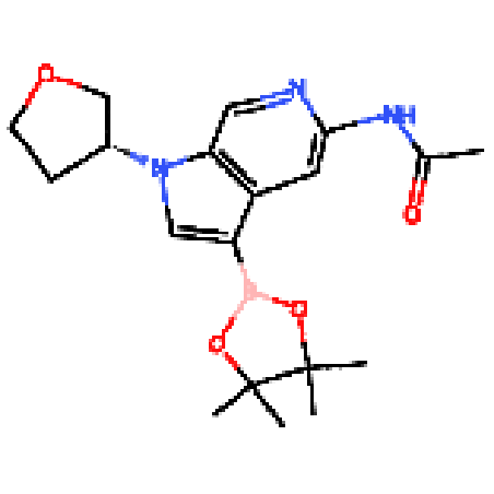 CC(=O)Nc1cc2c(B3OC(C)(C)C(C)(C)O3)cn([C@@H]3CCOC3)c2cn1